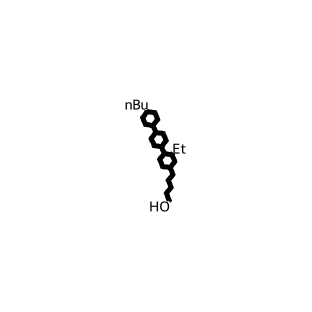 CCCCC1CCC(C2CCC(C3CCC(CCCCCO)CC3CC)CC2)CC1